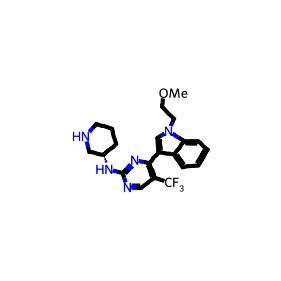 COCCn1cc(-c2nc(N[C@H]3CCCNC3)ncc2C(F)(F)F)c2ccccc21